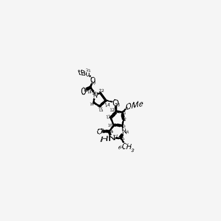 COc1cc2nc(C)[nH]c(=O)c2cc1O[C@H]1CCN(C(=O)OC(C)(C)C)C1